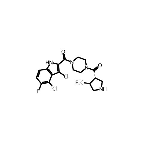 O=C(c1[nH]c2ccc(F)c(Cl)c2c1Cl)N1CCN(C(=O)[C@@H]2CNC[C@H]2C(F)(F)F)CC1